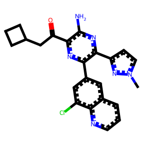 Cn1ccc(-c2nc(N)c(C(=O)CC3CCC3)nc2-c2cc(Cl)c3ncccc3c2)n1